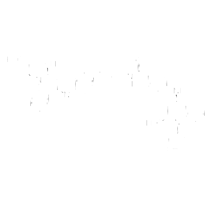 CCC(=O)N1c2ccccc2[C@H](Nc2ccc(OCCNC(=O)c3ccc(N[C@@H]4C[C@H](C)N(C(=O)CC)c5ccccc54)cc3)cc2)C[C@@H]1C